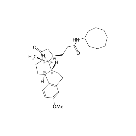 COc1ccc2c(c1)CC[C@H]1[C@@H]3[C@H](CCC(=O)NC4CCCCCCC4)CC(=O)[C@@]3(C)CC[C@H]21